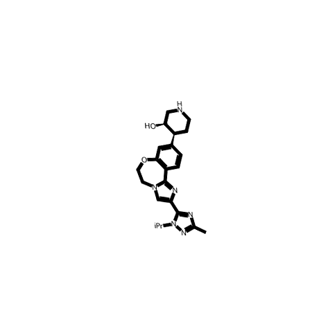 Cc1nc(-c2cn3c(n2)-c2ccc([C@@H]4CCNC[C@@H]4O)cc2OCC3)n(C(C)C)n1